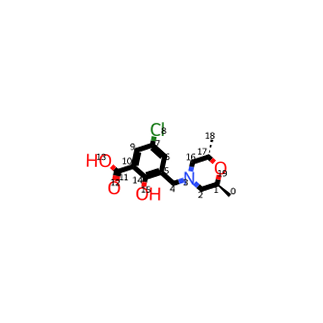 C[C@H]1CN(Cc2cc(Cl)cc(C(=O)O)c2O)C[C@H](C)O1